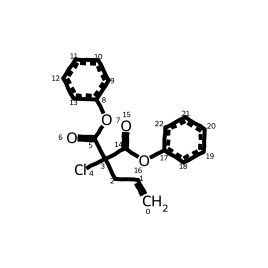 C=CCC(Cl)(C(=O)Oc1ccccc1)C(=O)Oc1ccccc1